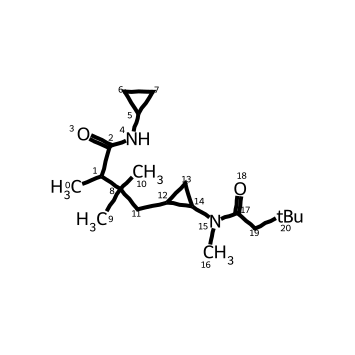 CC(C(=O)NC1CC1)C(C)(C)CC1CC1N(C)C(=O)CC(C)(C)C